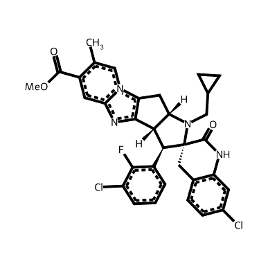 COC(=O)c1cc2nc3c(n2cc1C)C[C@H]1[C@@H]3[C@H](c2cccc(Cl)c2F)[C@@]2(Cc3ccc(Cl)cc3NC2=O)N1CC1CC1